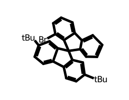 CC(C)(C)c1ccc2c(c1)C1(c3cc(C(C)(C)C)ccc3-2)c2ccccc2-c2cccc(Br)c21